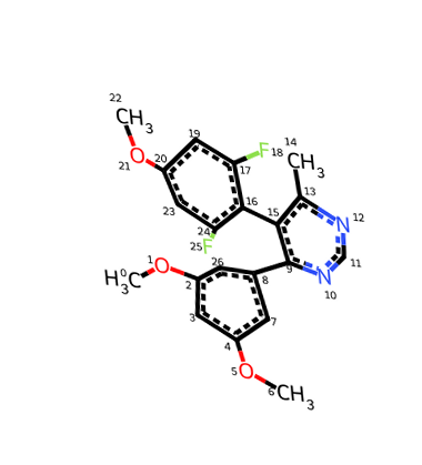 COc1cc(OC)cc(-c2ncnc(C)c2-c2c(F)cc(OC)cc2F)c1